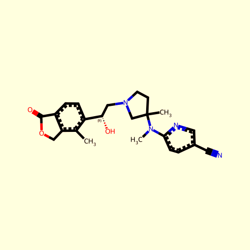 Cc1c([C@@H](O)CN2CCC(C)(N(C)c3ccc(C#N)cn3)C2)ccc2c1COC2=O